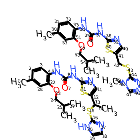 Cc1ccc(NC(=O)Nc2ncc(C(C)Sc3ncc[nH]3)s2)c(OCC(C)C)c1.Cc1ccc(NC(=O)Nc2ncc(CSc3nncn3C)s2)c(OCC(C)C)c1